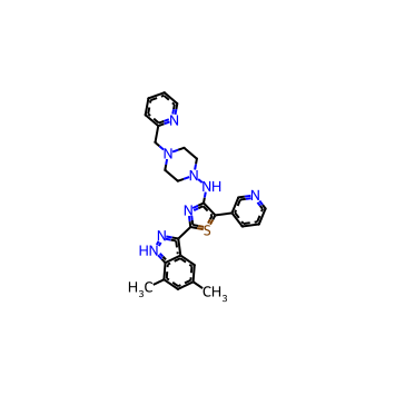 Cc1cc(C)c2[nH]nc(-c3nc(NN4CCN(Cc5ccccn5)CC4)c(-c4cccnc4)s3)c2c1